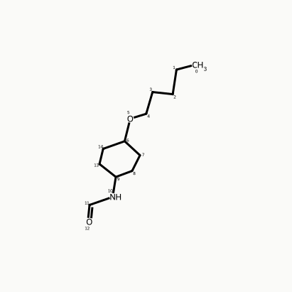 CCCCCOC1CCC(NC=O)CC1